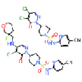 N#Cc1ccc(NS(=O)(=O)N2CCC(n3ncc(Cl)c(Cl)c3=O)CC2)nc1.N#Cc1ccc(NS(=O)(=O)N2CCC(n3ncc(NCC4(F)CCCOC4)c(Cl)c3=O)CC2)nc1